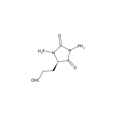 O=CCC[C@@H]1C(=O)N(P)C(=O)N1P